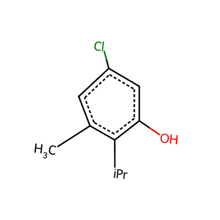 Cc1cc(Cl)cc(O)c1C(C)C